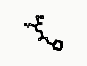 CC(CCC(=O)OCc1ccccc1)NC=O